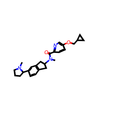 CN1CCCC1c1ccc2c(c1)CC(N(C)C(=O)c1ccc(OCC3CC3)cn1)C2